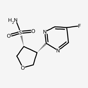 NS(=O)(=O)[C@H]1COC[C@H]1c1ncc(F)cn1